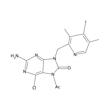 CC(=O)n1c(=O)n(Cc2ncc(C)c(I)c2C)c2nc(N)nc(Cl)c21